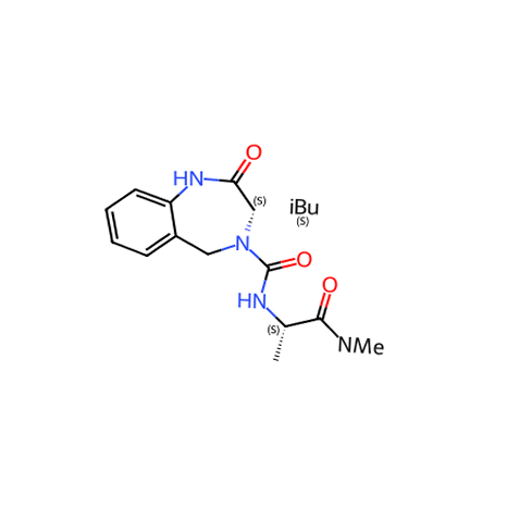 CC[C@H](C)[C@H]1C(=O)Nc2ccccc2CN1C(=O)N[C@@H](C)C(=O)NC